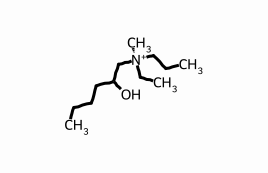 CCCCC(O)C[N@+](C)(CC)CCC